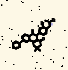 CC/C(C)=C/c1ccc(C2Nc3ccc(-c4ccccc4)cc3C3=C2C(=O)CC(C)(C)C3)cc1Br